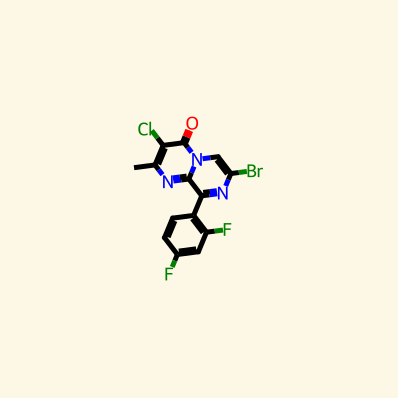 Cc1nc2c(-c3ccc(F)cc3F)nc(Br)cn2c(=O)c1Cl